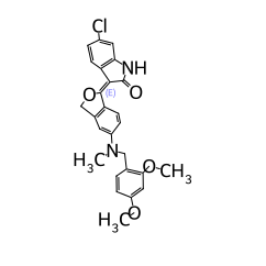 COc1ccc(CN(C)c2ccc3c(c2)CO/C3=C2/C(=O)Nc3cc(Cl)ccc32)c(OC)c1